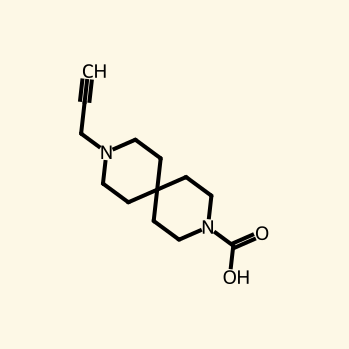 C#CCN1CCC2(CC1)CCN(C(=O)O)CC2